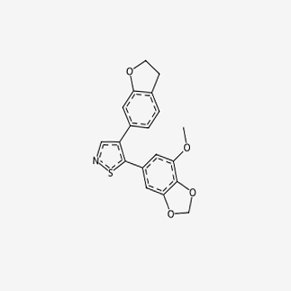 COc1cc(-c2sncc2-c2ccc3c(c2)OCC3)cc2c1OCO2